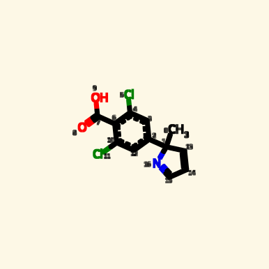 CC1(c2cc(Cl)c(C(=O)O)c(Cl)c2)C=CC=N1